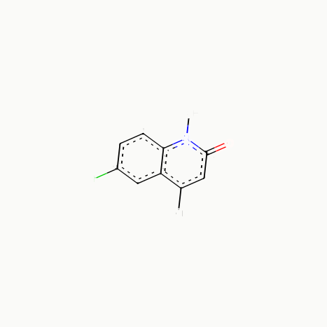 Cc1cc(=O)n(C)c2ccc(Cl)cc12